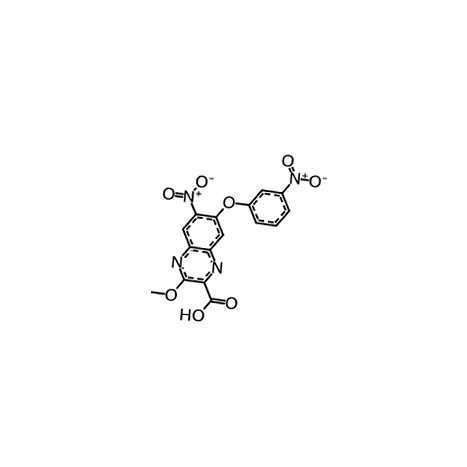 COc1nc2cc([N+](=O)[O-])c(Oc3cccc([N+](=O)[O-])c3)cc2nc1C(=O)O